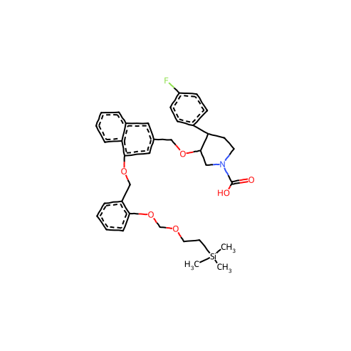 C[Si](C)(C)CCOCOc1ccccc1COc1cc(COC2CN(C(=O)O)CCC2c2ccc(F)cc2)cc2ccccc12